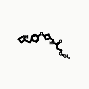 COCCC(=O)NCC1CC(Oc2ccc(CC3CCCN3)cc2)C1